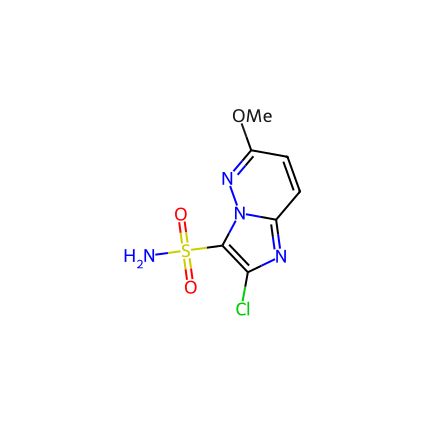 COc1ccc2nc(Cl)c(S(N)(=O)=O)n2n1